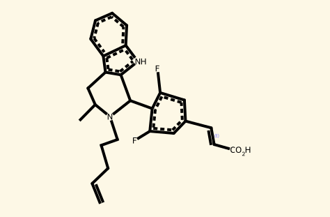 C=CCCCN1C(C)Cc2c([nH]c3ccccc23)C1c1c(F)cc(/C=C/C(=O)O)cc1F